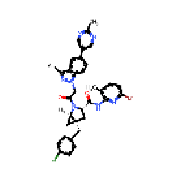 CC(=O)c1nn(CC(=O)N2[C@H](C(=O)Nc3nc(Br)ccc3C)C[C@@]3(Cc4ccc(Cl)cc4)C[C@@H]23)c2ccc(-c3cnc(C)nc3)cc12